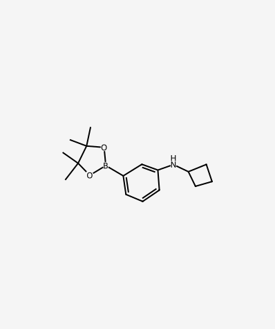 CC1(C)OB(c2cccc(NC3CCC3)c2)OC1(C)C